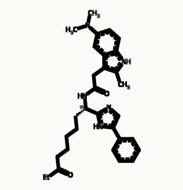 CCC(=O)CCCCC[C@H](NC(=O)Cc1c(C)[nH]c2ccc(N(C)C)cc12)c1ncc(-c2ccccc2)[nH]1